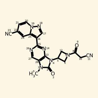 Cn1c(=O)n(C2CN(C(=O)CC#N)C2)c2nc(-c3cnn4ccc(C#N)cc34)ncc21